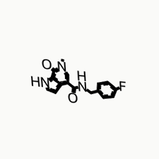 Cn1cc(C(=O)NCc2ccc(F)cc2)c2cc[nH]c2c1=O